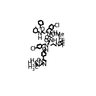 COC[C@H](NC(=O)[C@H](CCCN1CC(F)(F)C(F)(F)C1)NCc1ccc(Cl)cc1Oc1ccc(-c2cnc(CN(C)C)n2C)cc1)C(=O)N(C)[C@H](CC(=O)N[C@H]1CCC[CH][C@@H]1Cc1ccccc1)Cc1ccc(Cl)cc1